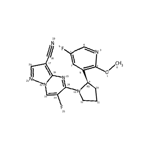 COc1ncc(F)cc1[C@H]1CCCN1c1nc2c(C#N)cnn2cc1F